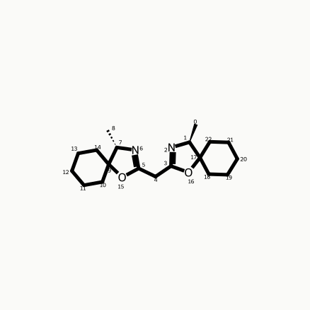 C[C@@H]1N=C(CC2=N[C@@H](C)C3(CCCCC3)O2)OC12CCCCC2